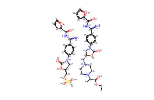 CCOC(=O)C(C)N1CCN(CC2CN(c3ccc(C(=N)NC(=O)c4ccco4)cc3)C(=O)O2)CC1.CS(=O)(=O)OCC1CN(c2ccc(C(=N)NC(=O)c3ccco3)cc2)C(=O)O1